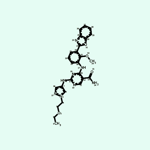 CCOCCn1cc(Nc2ncc(C(N)=O)c(Nc3cccc(-c4nc5ccccc5o4)c3OC)n2)cn1